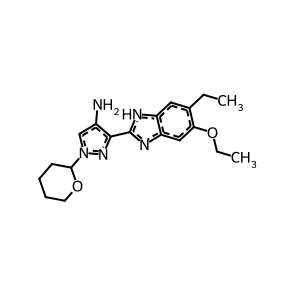 CCOc1cc2nc(-c3nn(C4CCCCO4)cc3N)[nH]c2cc1CC